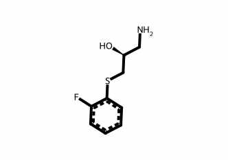 NC[C@H](O)CSc1ccccc1F